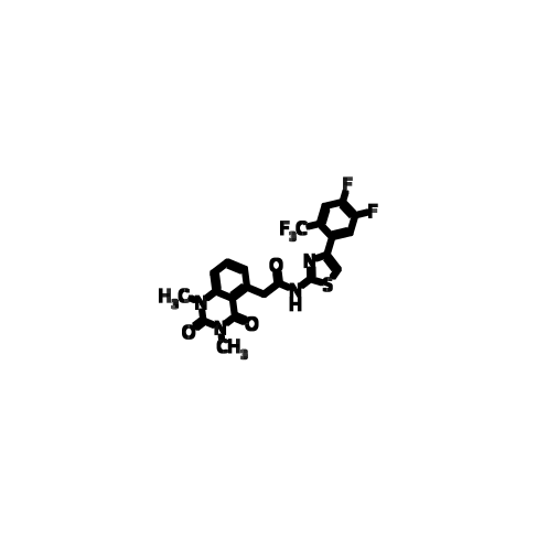 Cn1c(=O)c2c(CC(=O)Nc3nc(-c4cc(F)c(F)cc4C(F)(F)F)cs3)cccc2n(C)c1=O